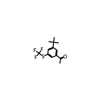 CC(=O)c1cc(SC(F)(F)F)cc(C(C)(C)C)c1